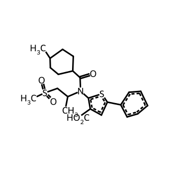 CC1CCC(C(=O)N(c2sc(-c3ccccc3)cc2C(=O)O)C(C)CS(C)(=O)=O)CC1